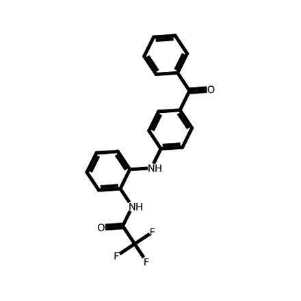 O=C(c1ccccc1)c1ccc(Nc2ccccc2NC(=O)C(F)(F)F)cc1